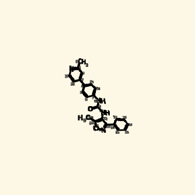 Cc1cc(-c2ccc(NC(=O)Nc3c(-c4ccccc4)noc3C)cc2)ccn1